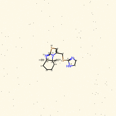 C1=C(CSC2=NCCN2)N2C(=N[C@@H]3CCCC[C@H]32)S1